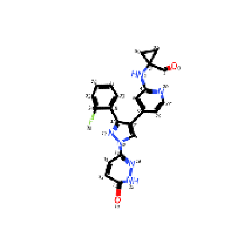 O=CC1(Nc2cc(-c3cn(-c4ccc(=O)[nH]n4)nc3-c3ccccc3F)ccn2)CC1